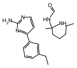 CC1CCCC(C)(NC=O)N1.CCc1cccc(-c2ccnc(N)n2)c1